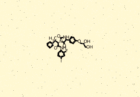 C[C@@H](c1ccccc1)[C@@H](C(=O)Nc1ccc(I)cc1F)N1C(=O)NC(c2ccc(OCC(O)CO)cc2)C1=O